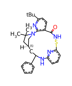 CC(C)(C)c1ccc2c(n1)N1C[C@@H](CC(c3ccccc3)Nc3cccc(n3)SNC2=O)CC1(C)C